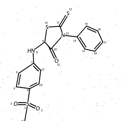 CS(=O)(=O)c1ccc(NC2SC(=S)N(c3ccccc3)C2=O)cc1